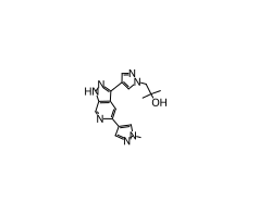 Cn1cc(-c2cc3c(-c4cnn(CC(C)(C)O)c4)n[nH]c3cn2)cn1